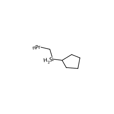 CCCC[SiH2]C1CCCC1